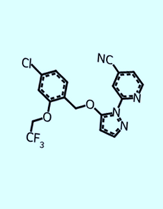 N#Cc1ccnc(-n2nccc2OCc2ccc(Cl)cc2OCC(F)(F)F)c1